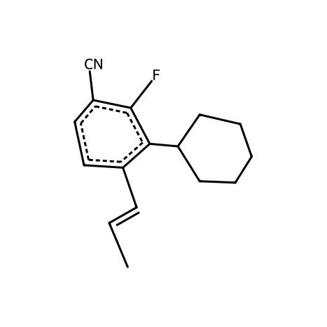 CC=Cc1ccc(C#N)c(F)c1C1CCCCC1